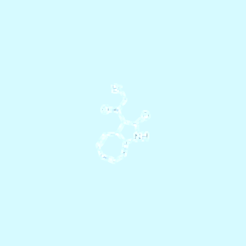 O=C(CBr)C1C(=O)NC2=CC=CC=CC21